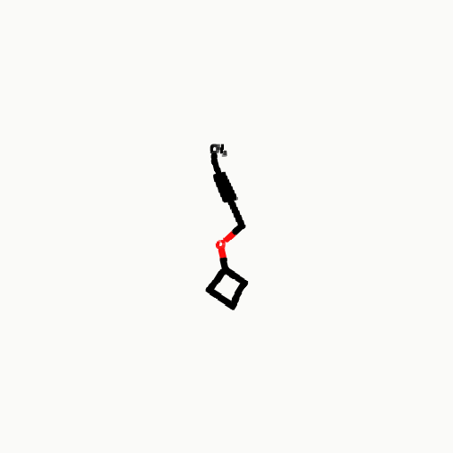 CC#CCOC1CCC1